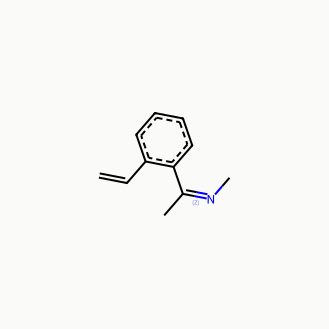 C=Cc1ccccc1/C(C)=N\C